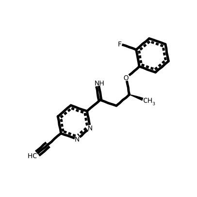 C#Cc1ccc(C(=N)C[C@H](C)Oc2ccccc2F)nn1